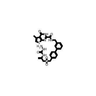 C=C(CS(=O)(=O)Cc1ccc(-c2cccc(CNC(=O)c3nc4scc(C)c4c(=O)[nH]3)c2)cc1)NC(=O)NN